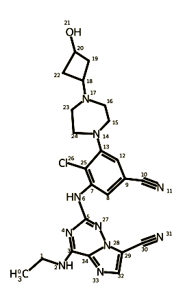 CCNc1nc(Nc2cc(C#N)cc(N3CCN(C4CC(O)C4)CC3)c2Cl)nn2c(C#N)cnc12